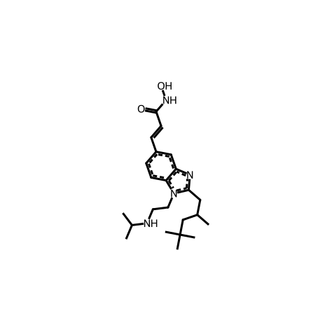 CC(Cc1nc2cc(C=CC(=O)NO)ccc2n1CCNC(C)C)CC(C)(C)C